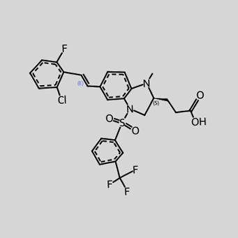 CN1c2ccc(/C=C/c3c(F)cccc3Cl)cc2N(S(=O)(=O)c2cccc(C(F)(F)F)c2)C[C@@H]1CCC(=O)O